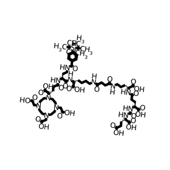 CC(C)(C)[Si](F)(c1ccc(C(=O)NCC[C@H](NC(=O)CC[C@@H](C(=O)O)N2CCN(CC(=O)O)CCN(CC(=O)O)CCN(CC(=O)O)CC2)C(=O)N[C@H](CCCCNC(=O)CCC(=O)NCCC[C@@H](NC(=O)CC[C@H](NC(=O)N[C@@H](CCC(=O)O)C(=O)O)C(=O)O)C(=O)O)C(=O)O)cc1)C(C)(C)C